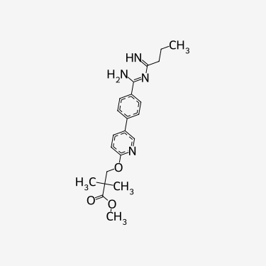 CCCC(=N)/N=C(\N)c1ccc(-c2ccc(OCC(C)(C)C(=O)OC)nc2)cc1